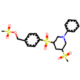 CS(=O)(=O)OCc1ccc(S(=O)(=O)C2CC(S(C)(=O)=O)CN(c3ccccc3)C2)cc1